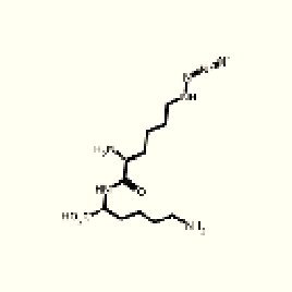 [N-]=[N+]=NNCCCC[C@H](N)C(=O)N[C@@H](CCCCN)C(=O)O